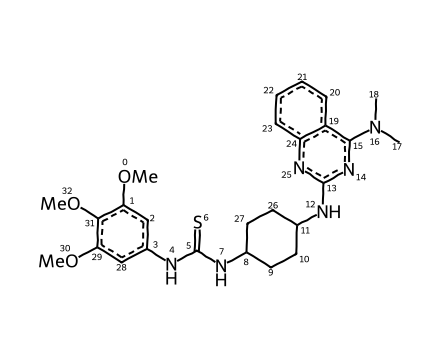 COc1cc(NC(=S)NC2CCC(Nc3nc(N(C)C)c4ccccc4n3)CC2)cc(OC)c1OC